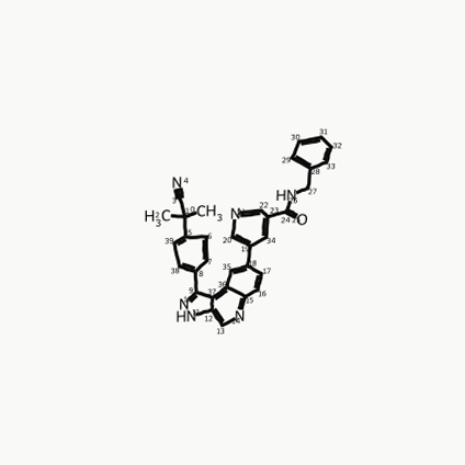 CC(C)(C#N)c1ccc(-c2n[nH]c3cnc4ccc(-c5cncc(C(=O)NCc6ccccc6)c5)cc4c23)cc1